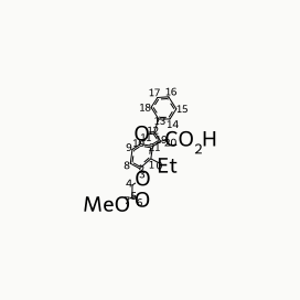 CCc1c(OCC(=O)OC)ccc2oc(-c3ccccc3)c(C(=O)O)c12